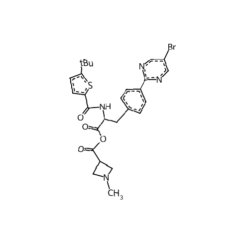 CN1CC(C(=O)OC(=O)C(Cc2ccc(-c3ncc(Br)cn3)cc2)NC(=O)c2ccc(C(C)(C)C)s2)C1